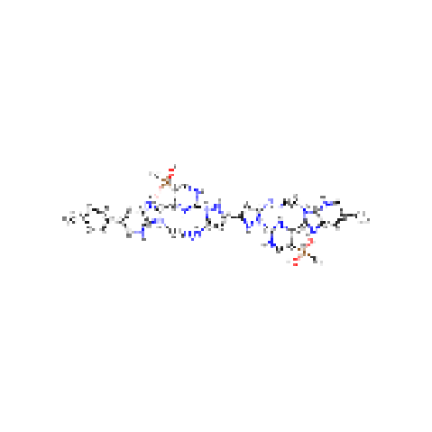 CCS(=O)(=O)c1cnc(-n2nc(-c3cc(N)n(-c4ncc(S(=O)(=O)CC)c(-c5nc6cc(C(F)(F)F)cnc6n5C)n4)n3)cc2N)nc1-c1nc2cc(-c3ccc(C(F)(F)F)cc3)cnc2n1C